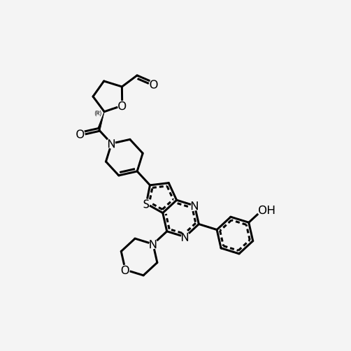 O=CC1CC[C@H](C(=O)N2CC=C(c3cc4nc(-c5cccc(O)c5)nc(N5CCOCC5)c4s3)CC2)O1